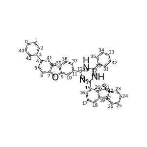 c1ccc(-c2ccc3oc4cc(C5N=C(c6cccc7c6sc6ccccc67)NC(c6ccccc6)N5)ccc4c3c2)cc1